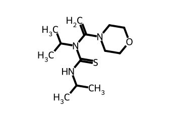 C=C(N1CCOCC1)N(C(=S)NC(C)C)C(C)C